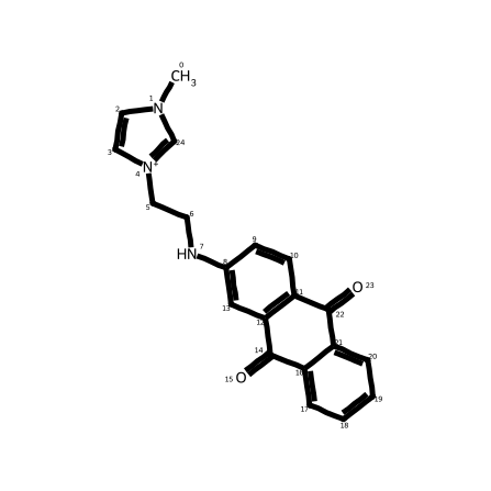 Cn1cc[n+](CCNc2ccc3c(c2)C(=O)c2ccccc2C3=O)c1